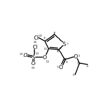 CC(C)OC(=O)c1scc(Cl)c1OS(=O)(=O)Cl